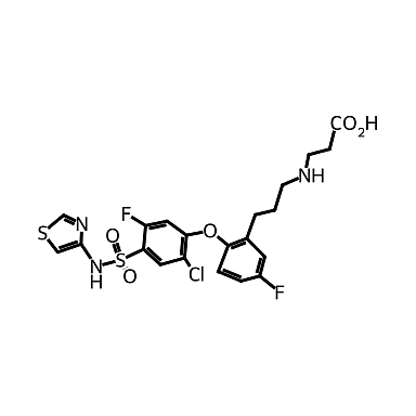 O=C(O)CCNCCCc1cc(F)ccc1Oc1cc(F)c(S(=O)(=O)Nc2cscn2)cc1Cl